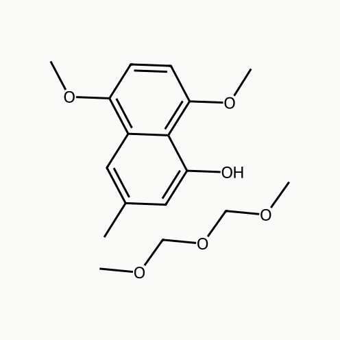 COCOCOC.COc1ccc(OC)c2c(O)cc(C)cc12